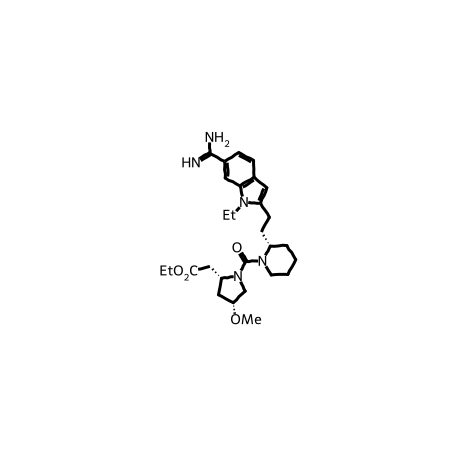 CCOC(=O)C[C@H]1C[C@@H](OC)CN1C(=O)N1CCCC[C@H]1CCc1cc2ccc(C(=N)N)cc2n1CC